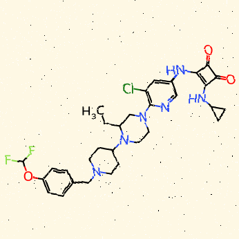 CCC1CN(c2ncc(Nc3c(NC4CC4)c(=O)c3=O)cc2Cl)CCN1C1CCN(Cc2ccc(OC(F)F)cc2)CC1